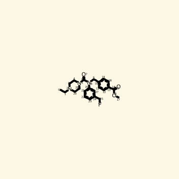 CCN1CCN(C(=O)N(Cc2ccc(C(=O)OC)cc2)c2cccc(CF)c2)CC1